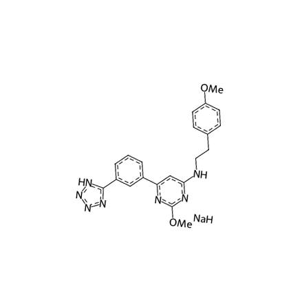 COc1ccc(CCNc2cc(-c3cccc(-c4nnn[nH]4)c3)nc(OC)n2)cc1.[NaH]